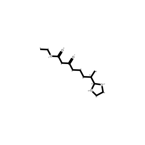 CCOC(=O)CC(=O)CCCC(C)C1OCCO1